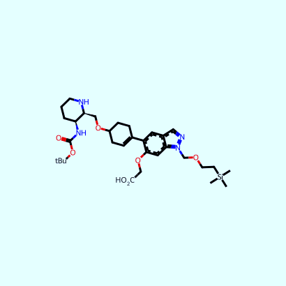 CC(C)(C)OC(=O)N[C@H]1CCCN[C@H]1COC1CC=C(c2cc3cnn(COCC[Si](C)(C)C)c3cc2OCC(=O)O)CC1